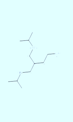 CC(C)NCC(CCO)CNC(C)C